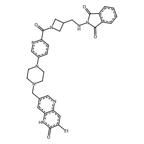 CCc1cc2ncc(CN3CCN(c4ccc(C(=O)N5CC(CNN6C(=O)c7ccccc7C6=O)C5)nc4)CC3)cc2[nH]c1=O